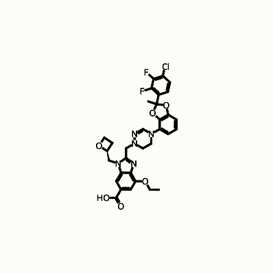 CCOc1cc(C(=O)O)cc2c1nc(CN1CCN(c3cccc4c3OC(C)(c3ccc(Cl)c(F)c3F)O4)C=N1)n2C[C@@H]1CCO1